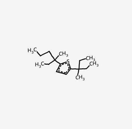 CCCC(C)(CC)c1ccc(C(C)(CC)CC)s1